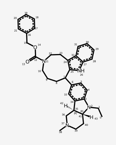 CCN1c2ccc(C3CCCN(C(=O)OCc4ccccc4)CCc4c3[nH]c3ccccc43)cc2[C@@H]2CN(C)CC[C@H]21